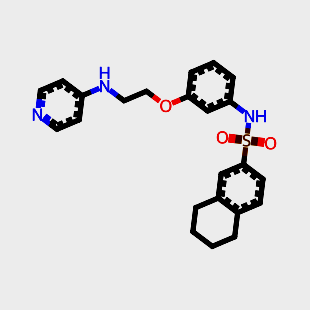 O=S(=O)(Nc1cccc(OCCNc2ccncc2)c1)c1ccc2c(c1)CCCC2